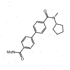 CNC(=O)c1ccc(-c2ccc(C(=O)N(C)C3CCCC3)cc2)cc1